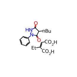 CC/C(=C/C(=O)O)C(=O)O.CCCCC1C(=O)NN(c2ccccc2)C1=O